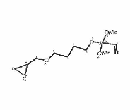 C=C[Si](OC)(OC)OCCCCOCC1CO1